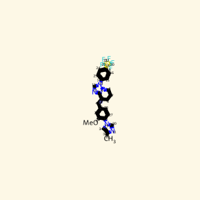 COc1cc(/C=C2\CCCN3C2=NCN3c2ccc(S(F)(F)(F)(F)F)cc2)ccc1-n1cnc(C)c1